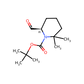 CC(C)(C)OC(=O)N1[C@@H](C=O)CCCC1(C)C